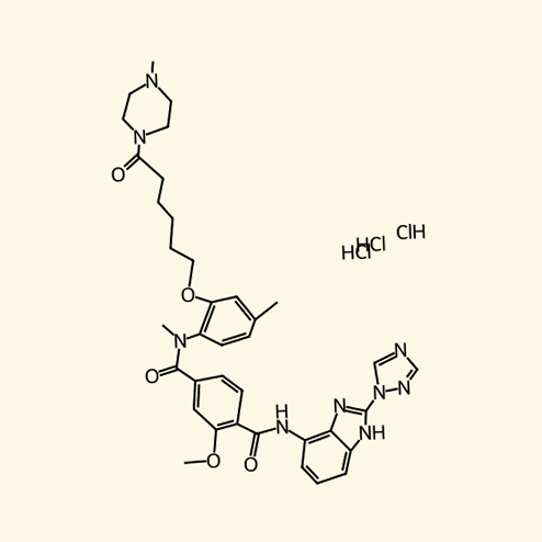 COc1cc(C(=O)N(C)c2ccc(C)cc2OCCCCCC(=O)N2CCN(C)CC2)ccc1C(=O)Nc1cccc2[nH]c(-n3cncn3)nc12.Cl.Cl.Cl